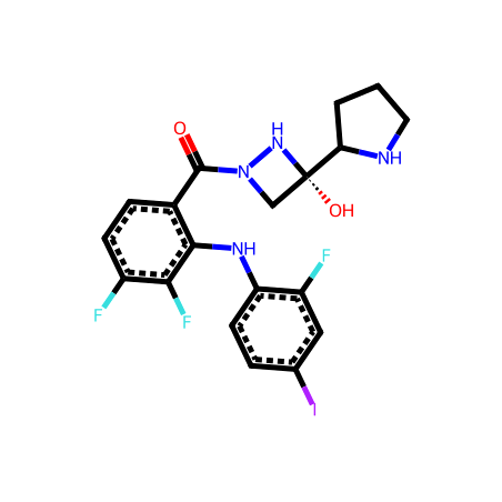 O=C(c1ccc(F)c(F)c1Nc1ccc(I)cc1F)N1C[C@](O)(C2CCCN2)N1